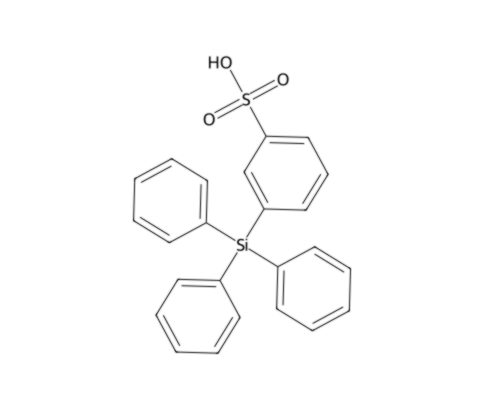 O=S(=O)(O)c1cccc([Si](c2ccccc2)(c2ccccc2)c2ccccc2)c1